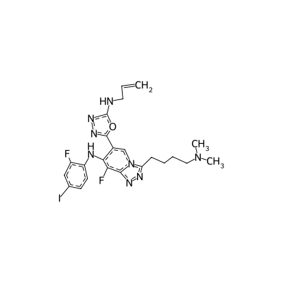 C=CCNc1nnc(-c2cn3c(CCCCN(C)C)nnc3c(F)c2Nc2ccc(I)cc2F)o1